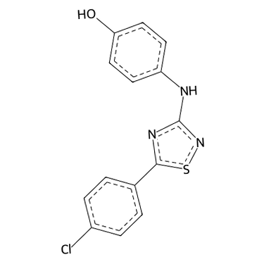 Oc1ccc(Nc2nsc(-c3ccc(Cl)cc3)n2)cc1